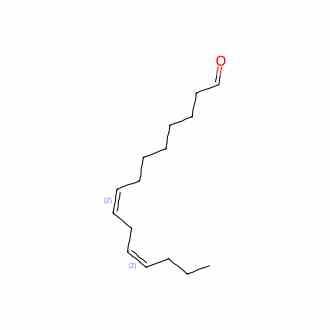 CCC/C=C\C/C=C\CCCCCCC=O